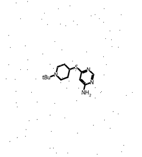 CC(C)(C)N1CCC(Sc2cc(N)ncn2)CC1